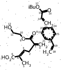 C=C(CC=C(C)C(=O)O)C(=O)OCCO.C=CC(=O)OCC(C)C.C=Cc1ccccc1